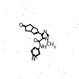 Cn1cnc(C2=CC3CC(=O)CC3C2)c1C(=O)Nc1ccc2c(c1)=[N+]=2